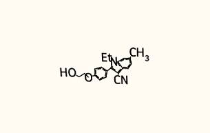 CCn1c(-c2ccc(OCCO)cc2)c(C#N)c2ccc(C)cc21